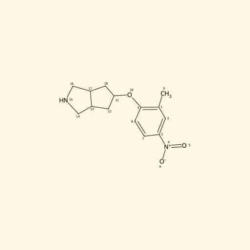 Cc1cc([N+](=O)[O-])ccc1OC1CC2CNCC2C1